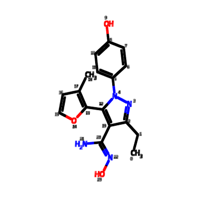 CCc1nn(-c2ccc(O)cc2)c(-c2occc2C)c1/C(N)=N/O